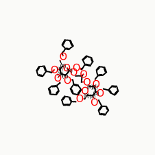 O=C(OC(CO[C@@H]1O[C@H](COCc2ccccc2)[C@H](OCc2ccccc2)[C@H](OCc2ccccc2)[C@H]1OCc1ccccc1)CO[C@@H]1O[C@H](COCc2ccccc2)[C@H](OCc2ccccc2)[C@H](OCc2ccccc2)[C@H]1OCc1ccccc1)c1ccccc1